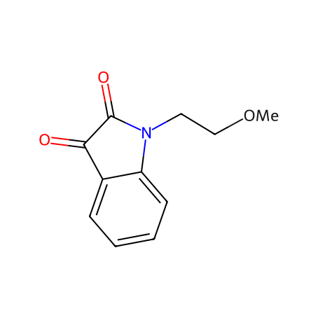 COCCN1C(=O)C(=O)c2ccccc21